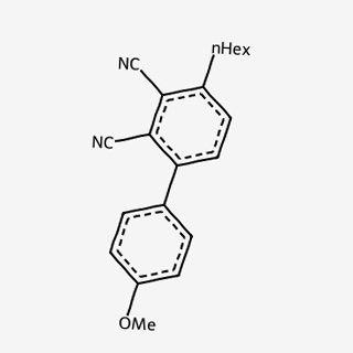 CCCCCCc1ccc(-c2ccc(OC)cc2)c(C#N)c1C#N